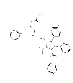 CC(C)C1C(C(=O)Nc2ccccc2)C(c2ccccc2)C(c2ccc(F)cc2)N1CCC1CC(CC(=O)O)OB(c2ccccc2)O1